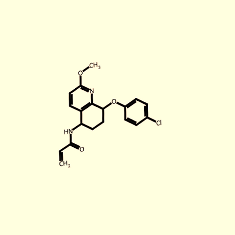 C=CC(=O)NC1CCC(Oc2ccc(Cl)cc2)c2nc(OC)ccc21